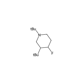 CC(C)(C)C1CN(C(C)(C)C)CCC1F